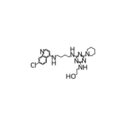 OCCNc1nc(NCCCCNc2ccnc3cc(Cl)ccc23)nc(N2CCCCC2)n1